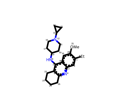 CCc1cc2nc3c(c(NC4CCN(C5CC5)CC4)c2cc1OC)CCCC3